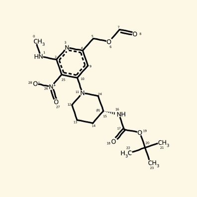 CNc1nc(COC=O)cc(N2CCC[C@@H](NC(=O)OC(C)(C)C)C2)c1[N+](=O)[O-]